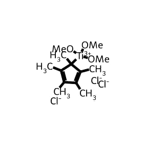 C[O][Ti+3]([O]C)([O]C)[C]1(C)C(C)=C(C)C(C)=C1C.[Cl-].[Cl-].[Cl-]